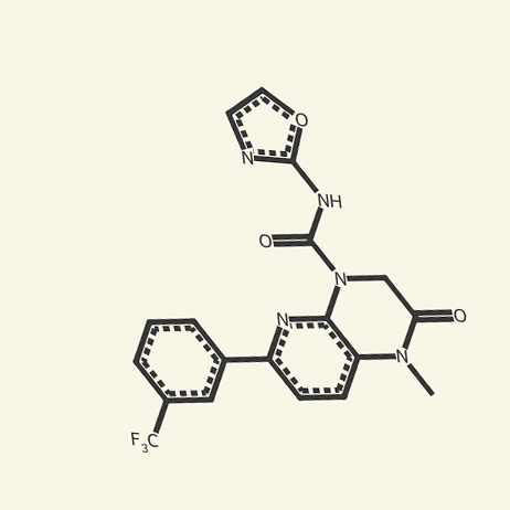 CN1C(=O)CN(C(=O)Nc2ncco2)c2nc(-c3cccc(C(F)(F)F)c3)ccc21